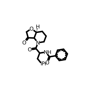 CC(C)CC(NC(=O)c1ccccc1)C(=O)N1CCC[C@@H]2OCC(=O)C21